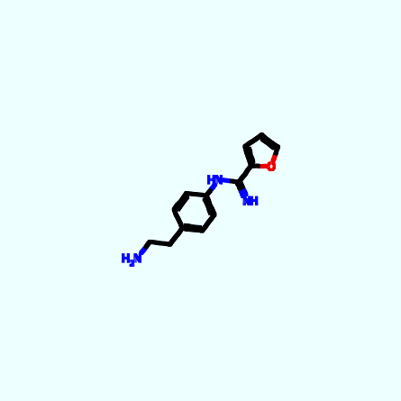 N=C(Nc1ccc(CCN)cc1)c1ccco1